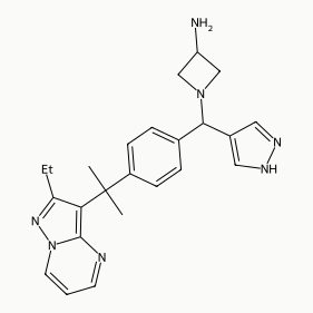 CCc1nn2cccnc2c1C(C)(C)c1ccc(C(c2cn[nH]c2)N2CC(N)C2)cc1